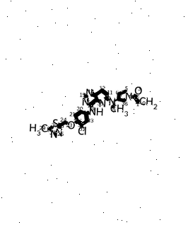 C=CC(=O)N1CC[C@H](N(C)c2ccc3ncnc(Nc4ccc(OCc5nnc(C)s5)c(Cl)c4)c3n2)C1